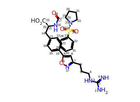 N=C(N)NCCCc1cc(-c2ccc(C[C@H](NC(=O)[C@@H]3CCCN3S(=O)(=O)c3ccccc3)C(=O)O)cc2)on1